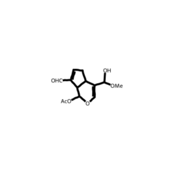 COC(O)C1=COC(OC(C)=O)C2C(C=O)=CCC12